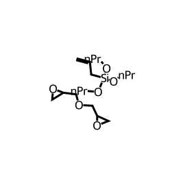 C(OCC1CO1)C1CO1.C=CC[Si](OCCC)(OCCC)OCCC